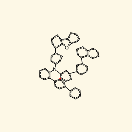 c1ccc(-c2ccc(-c3ccccc3N(c3ccc(-c4cccc5c4oc4ccccc45)cc3)c3cccc(-c4cccc(-c5cccc6ccccc56)c4)c3)cc2)cc1